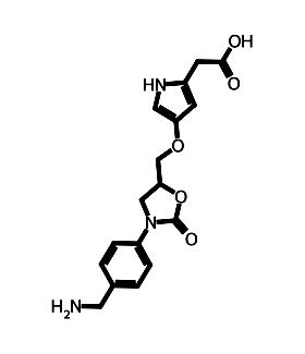 NCc1ccc(N2CC(COc3c[nH]c(CC(=O)O)c3)OC2=O)cc1